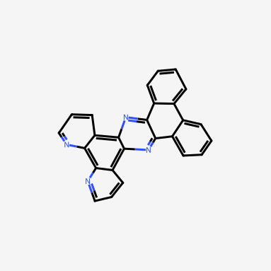 c1ccc2c(c1)c1ccccc1c1nc3c4cccnc4c4ncccc4c3nc21